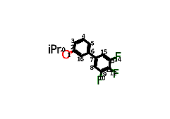 CC(C)Oc1cccc(-c2cc(F)c(F)c(F)c2)c1